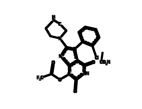 CC(=O)O.O=C(On1c(=O)[nH]c(=O)c2c1nc(N1CCNCC1)n2-c1ccccc1Cl)C(F)(F)F